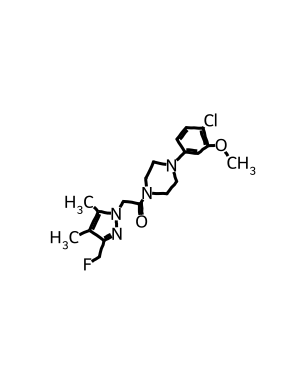 COc1cc(N2CCN(C(=O)Cn3nc(CF)c(C)c3C)CC2)ccc1Cl